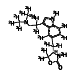 [2H]c1c(C([2H])([2H])[C@@H]2N([2H])C(=O)OC2([2H])[2H])c([2H])c2c(C([2H])([2H])CN(C([2H])([2H])[2H])C([2H])([2H])[2H])cn([2H])c2c1[2H]